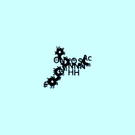 CC(=O)c1sc(NC(=O)N[C@@H]2CCN(C(=O)C3CCCC3)C[C@H]2CN2CCCC(Cc3ccc(F)cc3)C2)nc1C